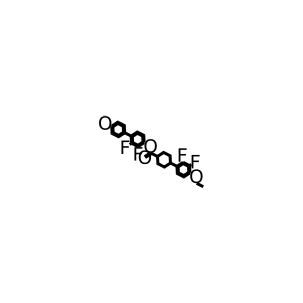 CCOc1ccc(C2CCC(C(=O)Oc3ccc(-c4ccc(OC)cc4)c(F)c3F)CC2)c(F)c1F